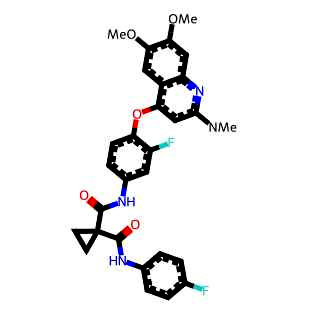 CNc1cc(Oc2ccc(NC(=O)C3(C(=O)Nc4ccc(F)cc4)CC3)cc2F)c2cc(OC)c(OC)cc2n1